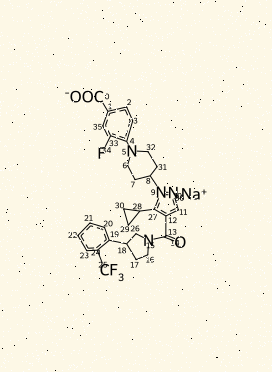 O=C([O-])c1ccc(N2CCC(n3ncc(C(=O)N4CCC(c5ccccc5C(F)(F)F)C4)c3C3CC3)CC2)c(F)c1.[Na+]